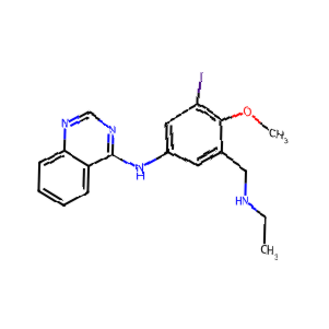 CCNCc1cc(Nc2ncnc3ccccc23)cc(I)c1OC